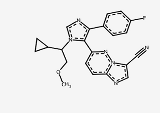 COCC(C1CC1)n1cnc(-c2ccc(F)cc2)c1-c1ccc2ncc(C#N)n2n1